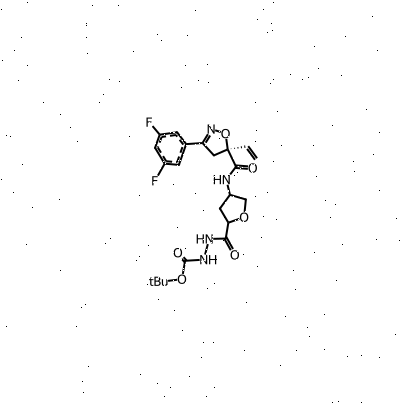 C=C[C@]1(C(=O)NC2COC(C(=O)NNC(=O)OC(C)(C)C)C2)CC(c2cc(F)cc(F)c2)=NO1